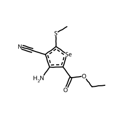 CCOC(=O)c1[se]c(SC)c(C#N)c1N